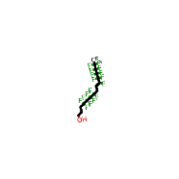 OCCCC(F)(F)C(F)(F)C(F)(F)C(F)(F)C/C=C(\F)C(F)(F)C(F)(F)C(F)(F)C(F)(F)C(F)(F)F